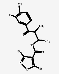 CCc1noc(CC)c1C(=O)NC(C)C(C)C(=O)c1ccc(C#N)c(F)c1